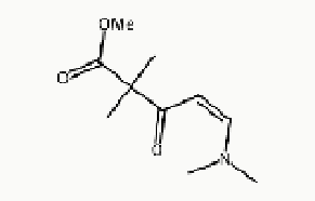 COC(=O)C(C)(C)C(=O)/C=C\N(C)C